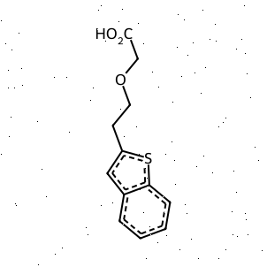 O=C(O)COCCc1cc2ccccc2s1